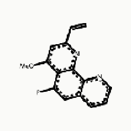 C=Cc1cc(OC)c2c(F)cc3cccnc3c2n1